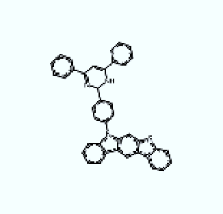 C1=C(c2ccccc2)NC(c2ccc(-n3c4ccccc4c4cc5c(cc43)sc3ccccc35)cc2)N=C1c1ccccc1